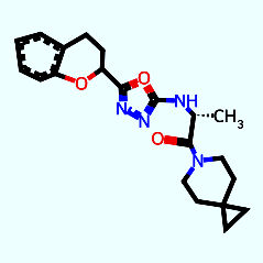 C[C@@H](Nc1nnc(C2CCc3ccccc3O2)o1)C(=O)N1CCC2(CC1)CC2